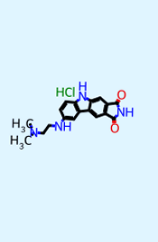 CN(C)CCNc1ccc2[nH]c3cc4c(cc3c2c1)C(=O)NC4=O.Cl